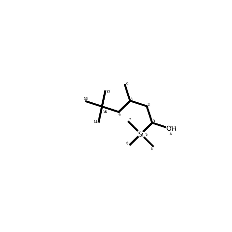 CC(CC(O)[Si](C)(C)C)CC(C)(C)C